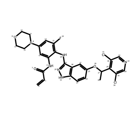 C=CC(=O)Nc1cc(N2CCOCC2)cc(F)c1Nc1n[nH]c2ccc(OC(C)c3c(Cl)cncc3Cl)cc12